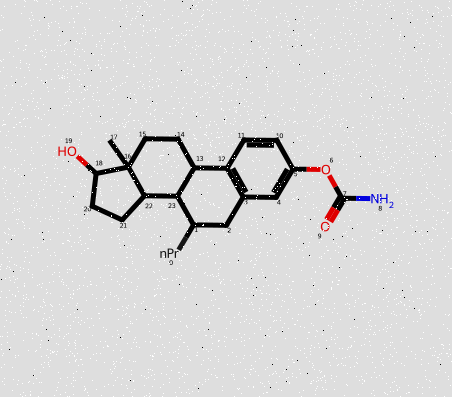 CCCC1Cc2cc(OC(N)=O)ccc2C2CCC3(C)C(O)CCC3C12